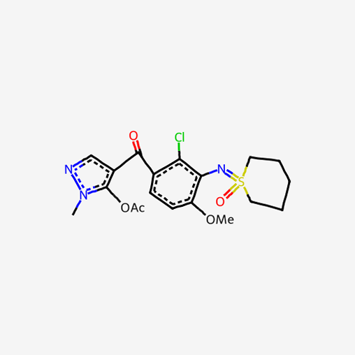 COc1ccc(C(=O)c2cnn(C)c2OC(C)=O)c(Cl)c1N=S1(=O)CCCCC1